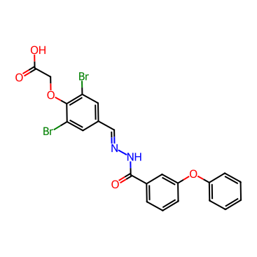 O=C(O)COc1c(Br)cc(C=NNC(=O)c2cccc(Oc3ccccc3)c2)cc1Br